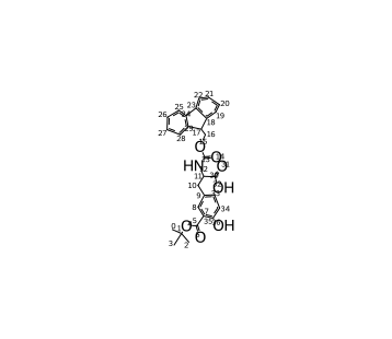 CC(C)(C)OC(=O)c1cc(CC(NC(=O)OCC2c3ccccc3-c3ccccc32)C(=O)O)ccc1O